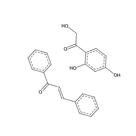 O=C(C=Cc1ccccc1)c1ccccc1.O=C(CO)c1ccc(O)cc1O